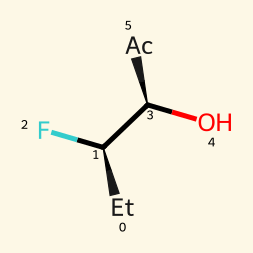 CC[C@@H](F)[C@H](O)C(C)=O